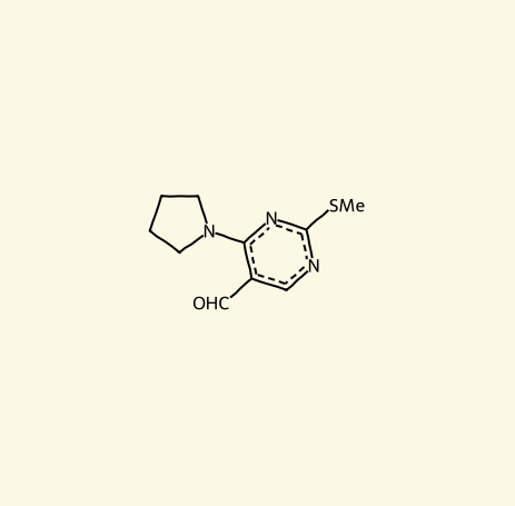 CSc1ncc(C=O)c(N2CCCC2)n1